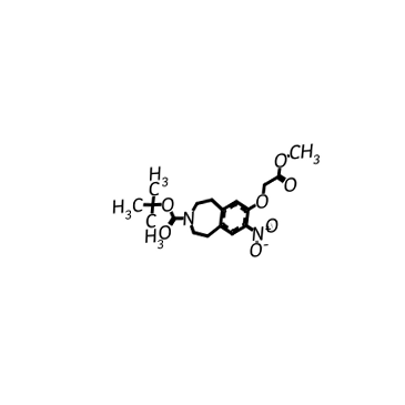 COC(=O)COc1cc2c(cc1[N+](=O)[O-])CCN(C(=O)OC(C)(C)C)CC2